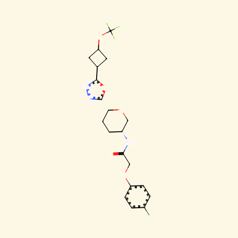 O=C(COc1ccc(Cl)cc1)N[C@@H]1CO[C@@H](c2nnc(C3CC(OC(F)(F)F)C3)o2)C[C@H]1F